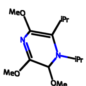 COC1=NC(OC)=C(C(C)C)N(C(C)C)C1OC